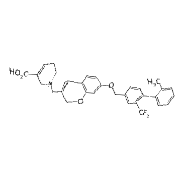 Cc1ccccc1-c1ccc(COc2ccc3c(c2)OCC(CN2CCC=C(C(=O)O)C2)=C3)cc1C(F)(F)F